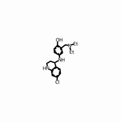 CCN(CC)Cc1cc(NC2CCNc3cc(Cl)ccc32)ccc1O